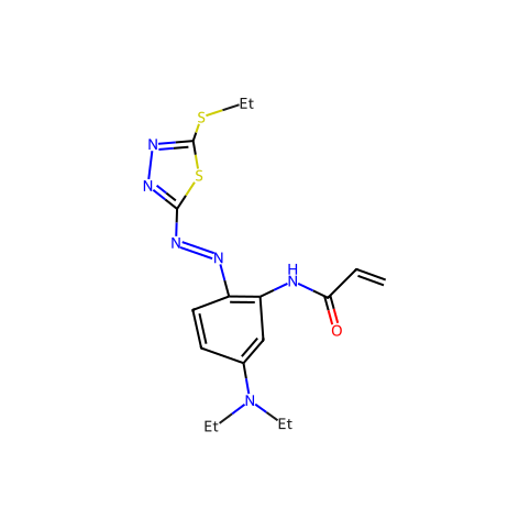 C=CC(=O)Nc1cc(N(CC)CC)ccc1N=Nc1nnc(SCC)s1